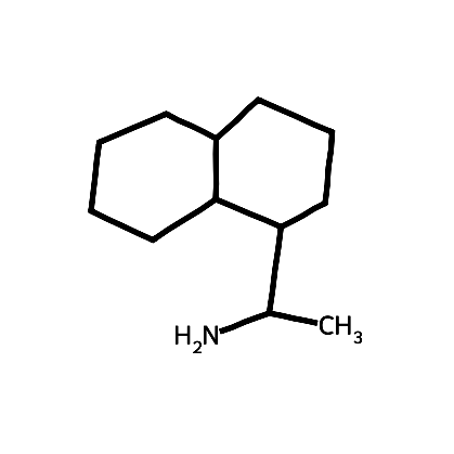 CC(N)C1CCCC2CCCCC21